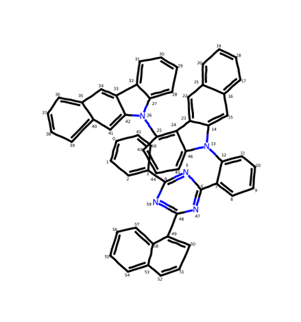 c1ccc(-c2nc(-c3ccccc3-n3c4cc5ccccc5cc4c4c(-n5c6ccccc6c6cc7ccccc7cc65)cccc43)nc(-c3cccc4ccccc34)n2)cc1